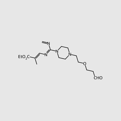 C=N/C(=N\C=C(/C)C(=O)OCC)N1CCN(CCOCCC=O)CC1